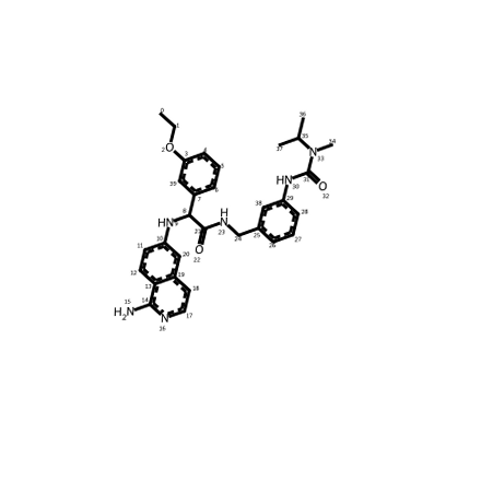 CCOc1cccc(C(Nc2ccc3c(N)nccc3c2)C(=O)NCc2cccc(NC(=O)N(C)C(C)C)c2)c1